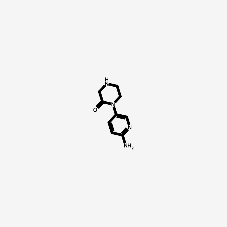 Nc1ccc(N2CCNCC2=O)cn1